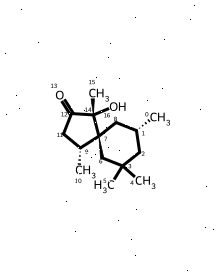 C[C@@H]1CC(C)(C)C[C@@]2(C1)[C@H](C)CC(=O)[C@]2(C)O